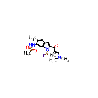 Cc1cc2cc(C(=O)/C(C#N)=C/N(C)C)n(SI)c2cc1NS(C)(=O)=O